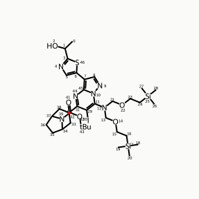 CC(O)c1ncc(-c2cnn3c(N(COCC[Si](C)(C)C)COCC[Si](C)(C)C)c(I)c(C4CC5CCC(C4)N5C(=O)OC(C)(C)C)nc23)s1